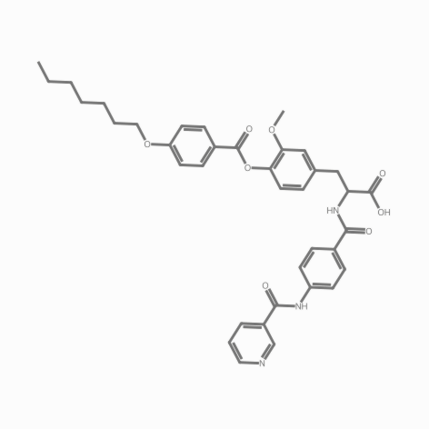 CCCCCCCOc1ccc(C(=O)Oc2ccc(CC(NC(=O)c3ccc(NC(=O)c4cccnc4)cc3)C(=O)O)cc2OC)cc1